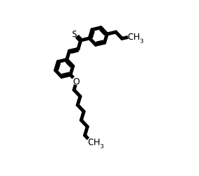 CCCCCCCCOc1cccc(C=CC(=S)c2ccc(CCC)cc2)c1